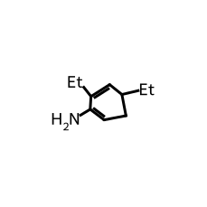 CCC1=CC(CC)CC=C1N